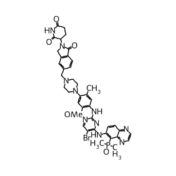 COc1cc(N2CCN(Cc3ccc4c(c3)CN(C3CCC(=O)NC3=O)C4=O)CC2)c(C)cc1Nc1ncc(Br)c(Nc2ccc3nccnc3c2P(C)(C)=O)n1